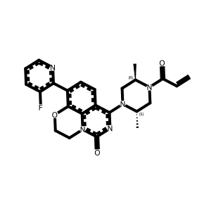 C=CC(=O)N1C[C@H](C)N(c2nc(=O)n3c4c(c(-c5ncccc5F)ccc24)OCC3)C[C@H]1C